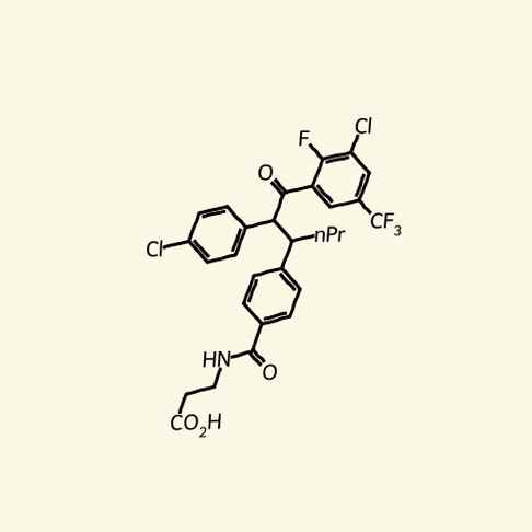 CCCC(c1ccc(C(=O)NCCC(=O)O)cc1)C(C(=O)c1cc(C(F)(F)F)cc(Cl)c1F)c1ccc(Cl)cc1